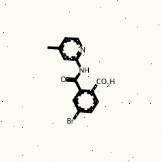 Cc1ccnc(NC(=O)c2cc(Br)ccc2C(=O)O)c1